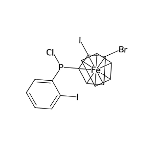 ClP(c1ccccc1I)[C]12[CH]3[CH]4[C]5(Br)[C]1(I)[Fe]43521678[CH]2[CH]1[CH]6[CH]7[CH]28